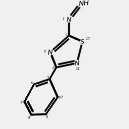 N=Nc1nc(-c2ccccc2)ns1